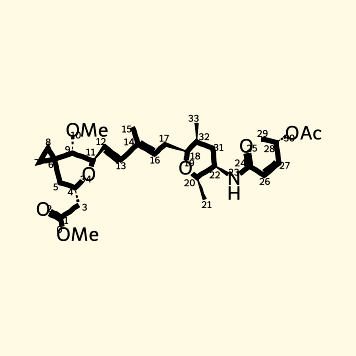 COC(=O)C[C@@H]1CC2(CC2)[C@H](OC)[C@@H](/C=C/C(C)=C/C[C@@H]2O[C@H](C)[C@H](NC(=O)/C=C\[C@H](C)OC(C)=O)C[C@@H]2C)O1